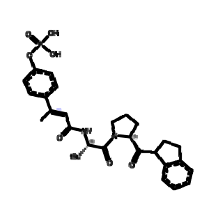 C/C(=C\C(=O)N[C@H](C(=O)N1CCC[C@H]1C(=O)C1CCc2ccccc21)C(C)(C)C)c1ccc(OP(=O)(O)O)cc1